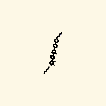 C/C=C/CCC1CCC(C2CC=C(c3ccc(-c4ccc(-c5ccc(OCCCCCC)c(F)c5F)cc4)c(F)c3)CC2)CC1